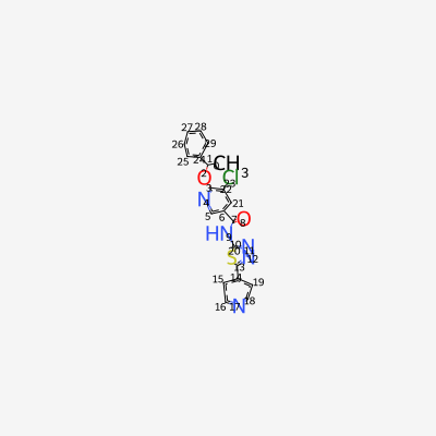 CC(Oc1ncc(C(=O)Nc2nnc(-c3ccncc3)s2)cc1Cl)c1ccccc1